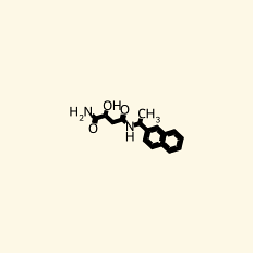 CC(NC(=O)CC(O)C(N)=O)c1ccc2ccccc2c1